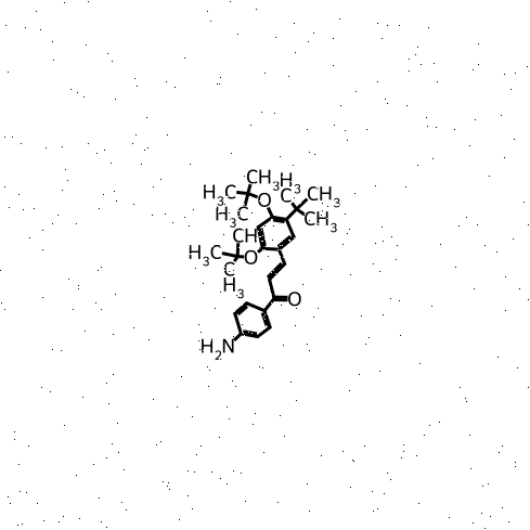 CC(C)(C)Oc1cc(OC(C)(C)C)c(C(C)(C)C)cc1C=CC(=O)c1ccc(N)cc1